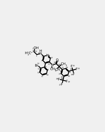 C[C@H](O)CNc1cc(-c2ccccc2Br)c(N(C)C(=O)C(C)(C)c2cc(C(F)(F)F)cc(C(F)(F)F)c2)cn1